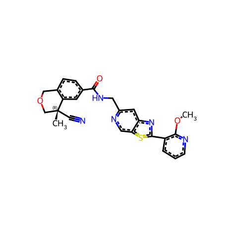 COc1ncccc1-c1nc2cc(CNC(=O)c3ccc4c(c3)[C@](C)(C#N)COC4)ncc2s1